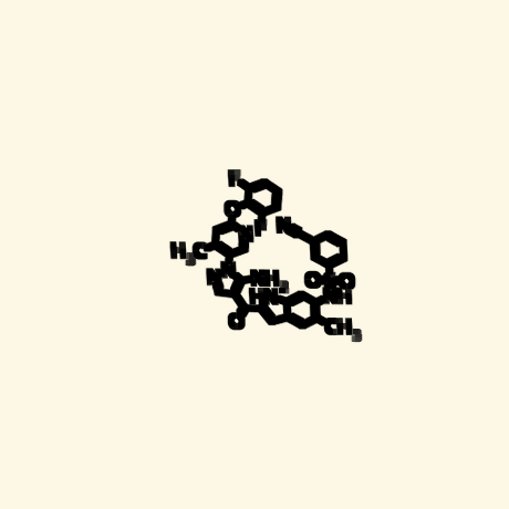 Cc1cc2cc(C(=O)c3cnn(-c4cnc(Oc5c(F)cccc5F)cc4C)c3N)[nH]c2cc1NS(=O)(=O)c1cccc(C#N)c1